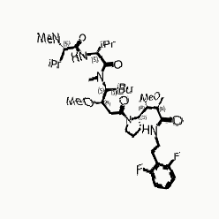 CC[C@H](C)[C@@H]([C@@H](CC(=O)N1CCC[C@H]1[C@H](OC)[C@@H](C)C(=O)NCCc1c(F)cccc1F)OC)N(C)C(=O)[C@@H](NC(=O)[C@@H](NC)C(C)C)C(C)C